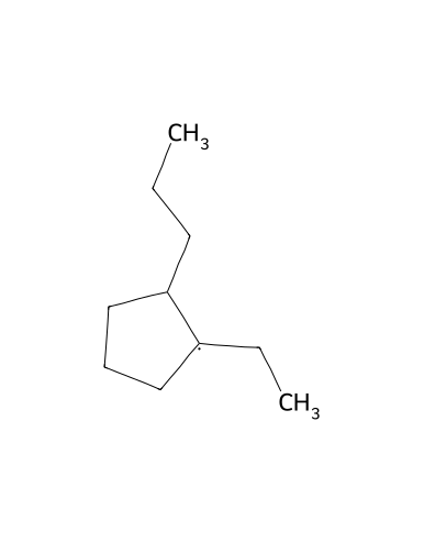 CCCC1CCC[C]1CC